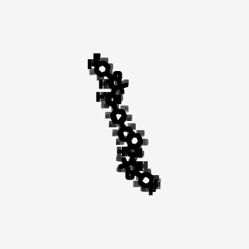 CC(C)(C)[C@H](NC(=O)C1CCC(F)(F)CC1)c1nc(-c2ccc(-c3ccc4c(c3)CCc3nc([C@@H](NC(=O)C5CCC(F)(F)CC5)C(C)(C)C)[nH]c3-4)cc2)c[nH]1